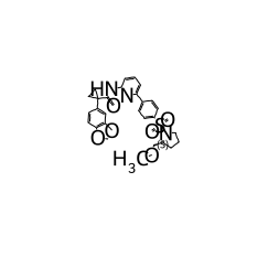 COC[C@@H]1CCCN1S(=O)(=O)c1ccc(-c2cccc(NC(=O)C3(c4ccc5c(c4)OCO5)CC3)n2)cc1